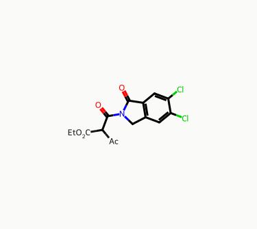 CCOC(=O)C(C(C)=O)C(=O)N1Cc2cc(Cl)c(Cl)cc2C1=O